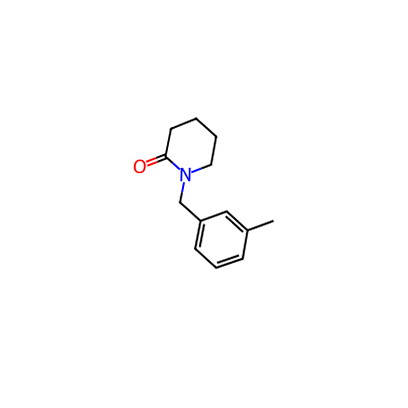 Cc1cccc(CN2CCCCC2=O)c1